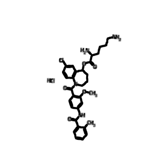 COc1cc(NC(=O)c2ccccc2C)ccc1C(=O)N1CCCC(OC(=O)[C@@H](N)CCCCN)c2cc(Cl)ccc21.Cl